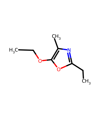 CCOc1oc(CC)nc1C